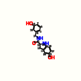 O=C(NCc1cccc(O)c1)C1Cc2cc(O)ccc2N1